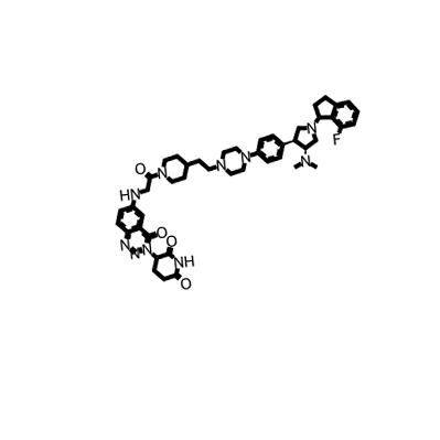 CN(C)[C@H]1CN(C2CCc3cccc(F)c32)C[C@@H]1c1ccc(N2CCN(CCC3CCN(C(=O)CNc4ccc5nnn(C6CCC(=O)NC6=O)c(=O)c5c4)CC3)CC2)cc1